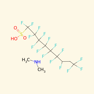 CNC.O=S(=O)(O)C(F)(F)C(F)(F)C(F)(F)C(F)(F)C(F)(F)C(F)(F)C(F)CC(F)(F)F